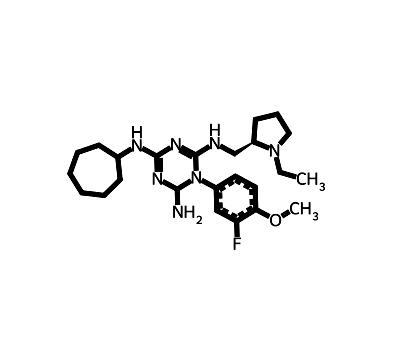 CCN1CCC[C@@H]1CNC1=NC(NC2CCCCCC2)=NC(N)N1c1ccc(OC)c(F)c1